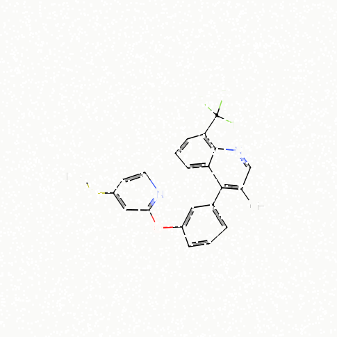 CSc1ccnc(Oc2cccc(-c3c(C)cnc4c(C(F)(F)F)cccc34)c2)c1